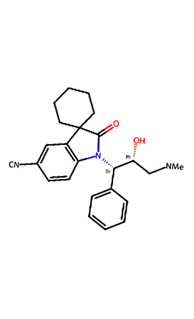 [C-]#[N+]c1ccc2c(c1)C1(CCCCC1)C(=O)N2[C@@H](c1ccccc1)[C@H](O)CNC